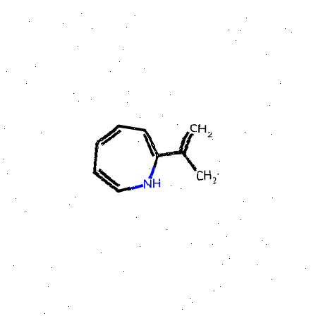 [CH2]C(=C)C1=CC=CC=CN1